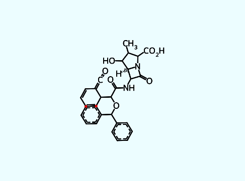 CC1C(O)[C@@H]2C(NC(=O)C(OC(c3ccccc3)c3ccccc3)C3C=CC=CC3=C=O)C(=O)N2C1C(=O)O